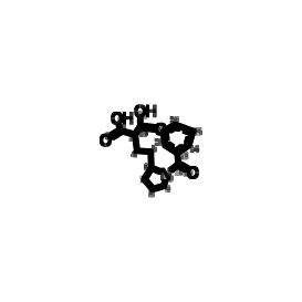 O=C(O)C(CCC1CCCN1C(=O)c1ccccc1)C(=O)O